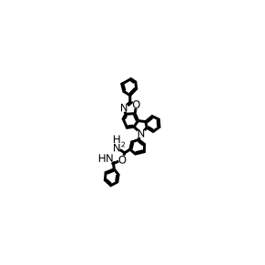 N=C(OC(N)c1cccc(-n2c3ccccc3c3c4oc(-c5ccccc5)nc4ccc32)c1)c1ccccc1